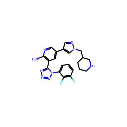 Nc1ncc(-c2cnn(CC3CCCNC3)c2)cc1-c1nnnn1-c1cccc(F)c1F